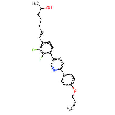 C=CCOc1ccc(-c2ccc(-c3ccc(C=CCCCC(C)O)c(F)c3F)cn2)cc1